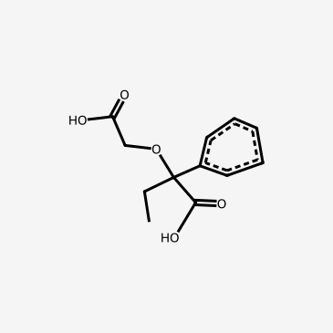 CCC(OCC(=O)O)(C(=O)O)c1ccccc1